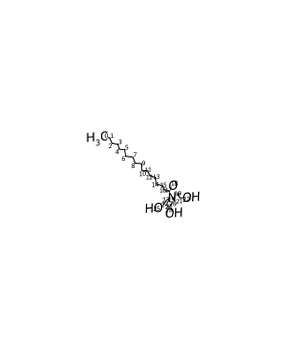 CCCCCCCCCCCCCCCCCC(=O)[N+](CCO)(CCO)CCO